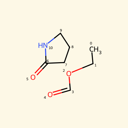 CCOC=O.O=C1CCCN1